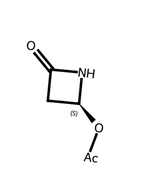 CC(=O)O[C@H]1CC(=O)N1